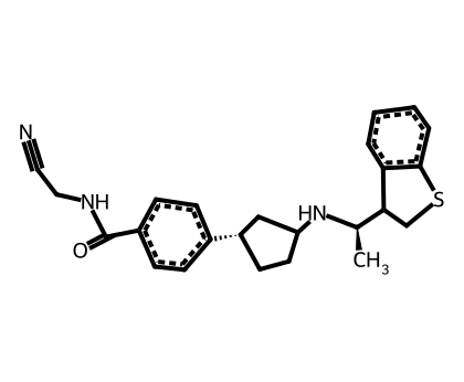 C[C@@H](NC1CC[C@H](c2ccc(C(=O)NCC#N)cc2)C1)C1CSc2ccccc21